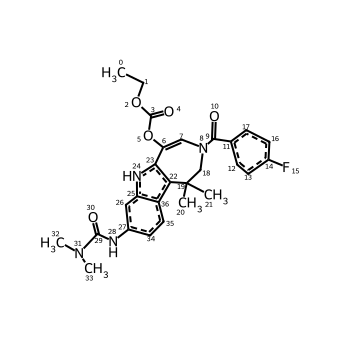 CCOC(=O)OC1=CN(C(=O)c2ccc(F)cc2)CC(C)(C)c2c1[nH]c1cc(NC(=O)N(C)C)ccc21